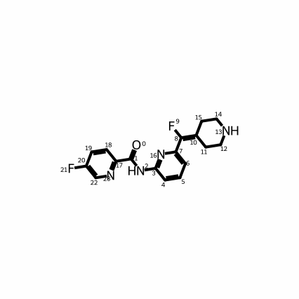 O=C(Nc1cccc(C(F)=C2CCNCC2)n1)c1ccc(F)cn1